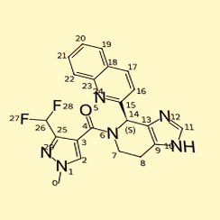 Cn1cc(C(=O)N2CCc3[nH]cnc3[C@@H]2c2ccc3ccccc3n2)c(C(F)F)n1